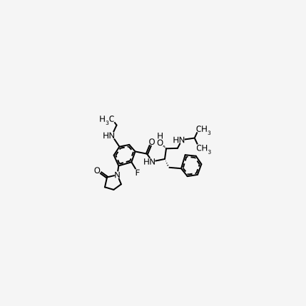 CCNc1cc(C(=O)N[C@@H](Cc2ccccc2)[C@H](O)CNC(C)C)c(F)c(N2CCCC2=O)c1